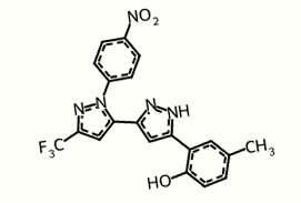 Cc1ccc(O)c(-c2cc(-c3cc(C(F)(F)F)nn3-c3ccc([N+](=O)[O-])cc3)n[nH]2)c1